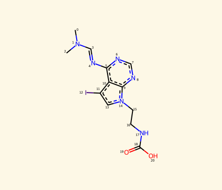 CN(C)/C=N/c1ncnc2c1c(I)cn2CCNC(=O)O